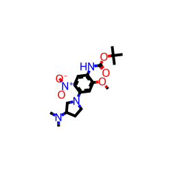 COc1cc(N2CCC(N(C)C)C2)c([N+](=O)[O-])cc1NC(=O)OC(C)(C)C